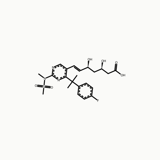 CN(c1ncc(/C=C/[C@@H](O)C[C@@H](O)CC(=O)O)c(C(C)(C)c2ccc(F)cc2)n1)S(C)(=O)=O